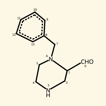 O=CC1CNCCN1Cc1ccccc1